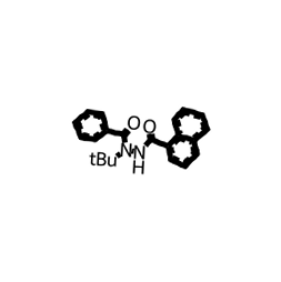 CC(C)(C)N(NC(=O)c1cccc2ccccc12)C(=O)c1ccccc1